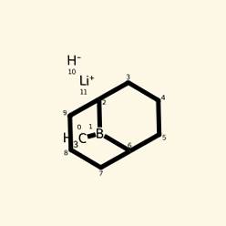 CB1C2CCCC1CCC2.[H-].[Li+]